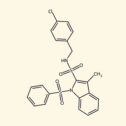 Cc1c(S(=O)(=O)NCc2ccc(Cl)cc2)n(S(=O)(=O)c2ccccc2)c2ccccc12